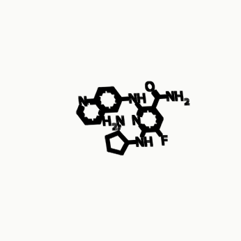 NC(=O)c1cc(F)c(NC2CCC[C@@H]2N)nc1Nc1ccc2ncccc2c1